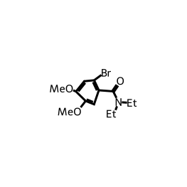 CCN(CC)C(=O)c1cc(OC)c(OC)cc1Br